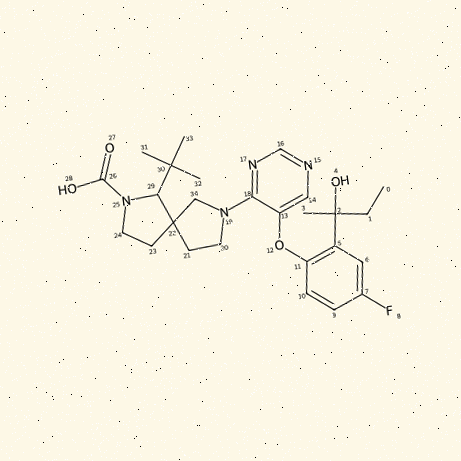 CCC(C)(O)c1cc(F)ccc1Oc1cncnc1N1CCC2(CCN(C(=O)O)C2C(C)(C)C)C1